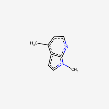 Cc1c[c]nc2c1ccn2C